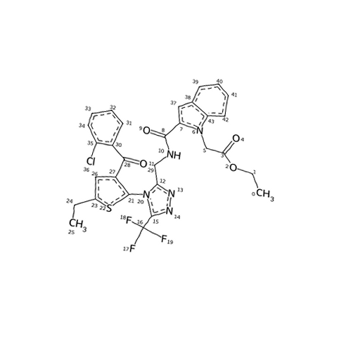 CCOC(=O)Cn1c(C(=O)NCc2nnc(C(F)(F)F)n2-c2sc(CC)cc2C(=O)c2ccccc2Cl)cc2ccccc21